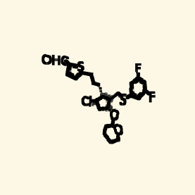 O=Cc1ccc(CCC[C@@H]2[C@@H](CSc3cc(F)cc(F)c3)[C@H](OC3CCCCO3)C[C@H]2Cl)s1